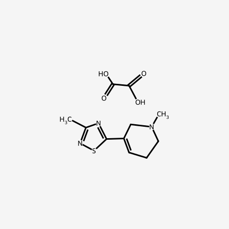 Cc1nsc(C2=CCCN(C)C2)n1.O=C(O)C(=O)O